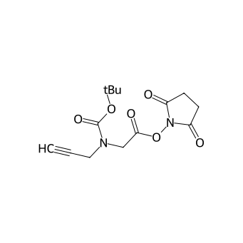 C#CCN(CC(=O)ON1C(=O)CCC1=O)C(=O)OC(C)(C)C